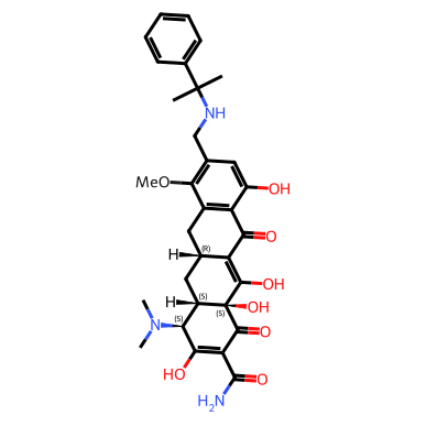 COc1c(CNC(C)(C)c2ccccc2)cc(O)c2c1C[C@H]1C[C@H]3[C@H](N(C)C)C(O)=C(C(N)=O)C(=O)[C@@]3(O)C(O)=C1C2=O